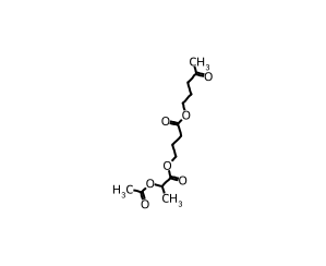 CC(=O)CCCOC(=O)CCCOC(=O)C(C)OC(C)=O